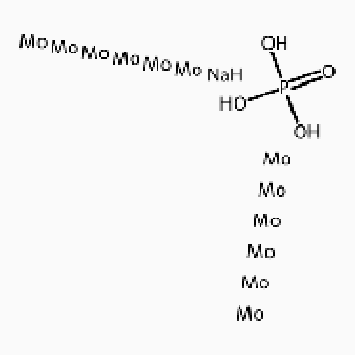 O=P(O)(O)O.[Mo].[Mo].[Mo].[Mo].[Mo].[Mo].[Mo].[Mo].[Mo].[Mo].[Mo].[Mo].[NaH]